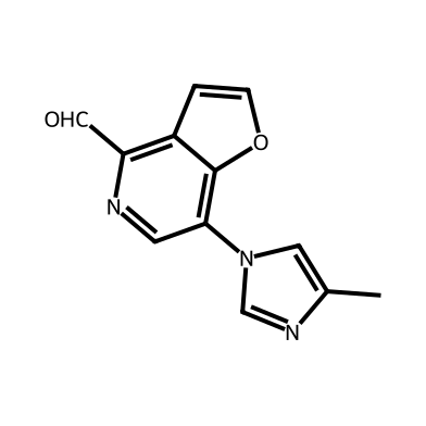 Cc1cn(-c2cnc(C=O)c3ccoc23)cn1